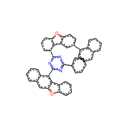 c1ccc(-c2nc(-c3cccc4oc5ccc(-c6cccc7ccccc67)cc5c34)nc(-c3c4ccccc4cc4oc5ccccc5c34)n2)cc1